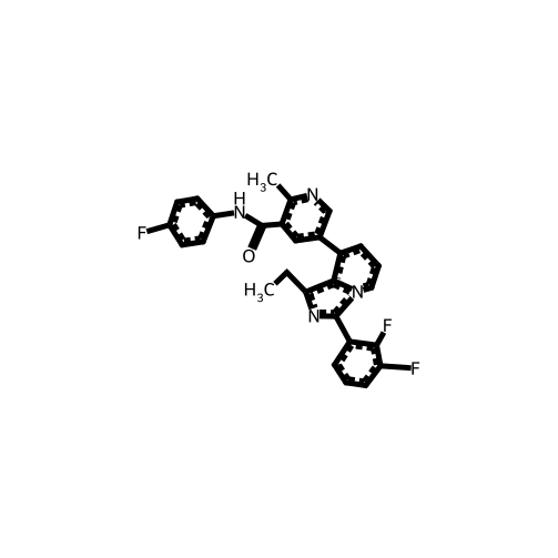 CCc1nc(-c2cccc(F)c2F)n2cccc(-c3cnc(C)c(C(=O)Nc4ccc(F)cc4)c3)c12